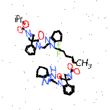 CC(C)OC(=O)N1CC2(C1)C(=O)N(Cc1nc3c(n1CC(F)(F)CCCC(C)OC(=O)N1CC4(C1)C(=O)N(Cc1nc5c([nH]1)CCCC5)c1ccccc14)CCCC3)c1ccccc12